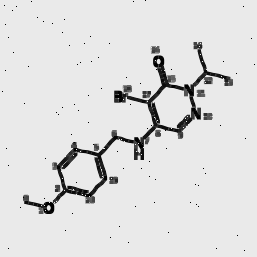 COc1ccc(CNc2cnn(C(C)C)c(=O)c2Br)cc1